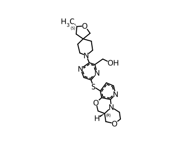 C[C@H]1CC2(CCN(c3ncc(Sc4ccnc5c4OC[C@H]4COCCN54)nc3CO)CC2)CO1